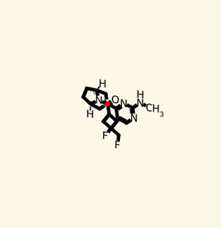 CNc1nccc(N2C[C@H]3CC[C@@H](C2)N3C(=O)C2CC(F)(CF)C2)n1